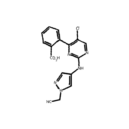 N#CCn1cc(Nc2ncc(Cl)c(-c3ccccc3C(=O)O)n2)cn1